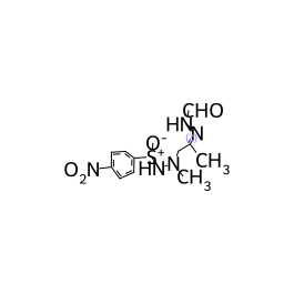 C/C(CN(C)N[S+]([O-])c1ccc([N+](=O)[O-])cc1)=N/NC=O